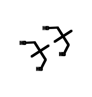 CC(C)(CO)CO.CC(C)(CO)CO